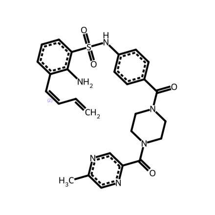 C=C/C=C\c1cccc(S(=O)(=O)Nc2ccc(C(=O)N3CCN(C(=O)c4cnc(C)cn4)CC3)cc2)c1N